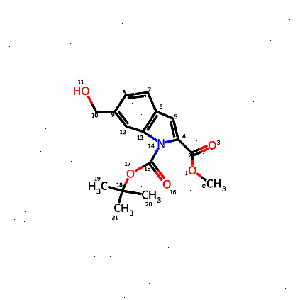 COC(=O)c1cc2ccc(CO)cc2n1C(=O)OC(C)(C)C